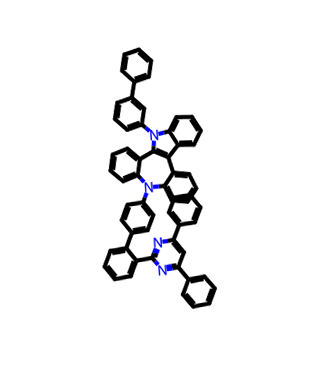 c1ccc(-c2cccc(-n3c4c(c5ccccc53)-c3ccccc3N(c3ccc(-c5ccccc5-c5nc(-c6ccccc6)cc(-c6ccccc6)n5)cc3)c3ccccc3-4)c2)cc1